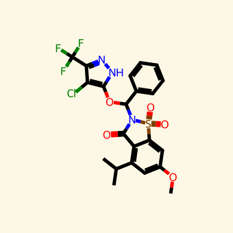 COc1cc(C(C)C)c2c(c1)S(=O)(=O)N(C(Oc1[nH]nc(C(F)(F)F)c1Cl)c1ccccc1)C2=O